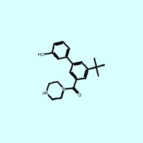 CC(C)(C)c1cc(C(=O)N2CCNCC2)cc(-c2cccc(O)c2)c1